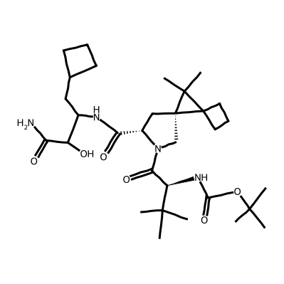 CC(C)(C)OC(=O)N[C@H](C(=O)N1C[C@]2(C[C@H]1C(=O)NC(CC1CCC1)C(O)C(N)=O)C(C)(C)C21CCC1)C(C)(C)C